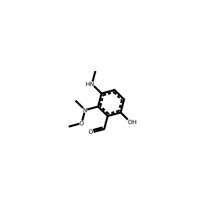 CNc1ccc(O)c(C=O)c1N(C)OC